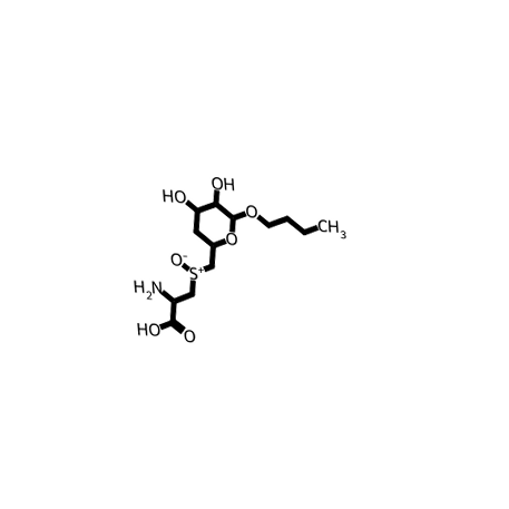 CCCCOC1OC(C[S+]([O-])CC(N)C(=O)O)CC(O)C1O